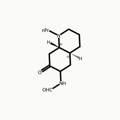 CCCN1CCC[C@H]2CC(NC=O)C(=O)C[C@@H]21